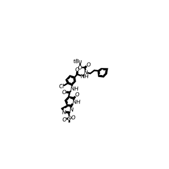 CC(C)(C)OC(=O)N(CCc1ccccc1)NC(=O)c1ccc(Cl)c(NC(=O)c2cc3cnc(S(C)(=O)=O)nc3[nH]c2=O)c1